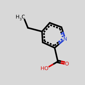 CCc1ccnc(C(=O)O)c1